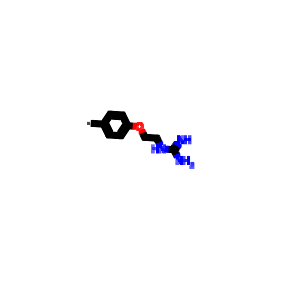 [CH2]c1ccc(OCCNC(=N)N)cc1